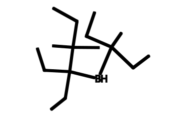 CCC(C)(BC(CC)(CC)C(C)(C)CC)CC